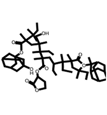 CCC(CC(C)(C(=O)OC1CCOC1=O)C(C)(CC)C(C)(CO)CC(C)(C(=O)OC12CC3CC(CC(O)(C3)C1)C2)C(C)(C)CC)C(C)(CC)C(C)(CC(C)(C)CC)C(=O)OC1(C)C2CC3CC(C2)CC1C3